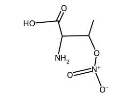 CC(O[N+](=O)[O-])C(N)C(=O)O